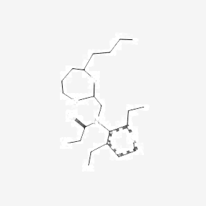 CCCCC1CCCSC(CN(C(=O)CCl)c2c(CC)cccc2CC)S1